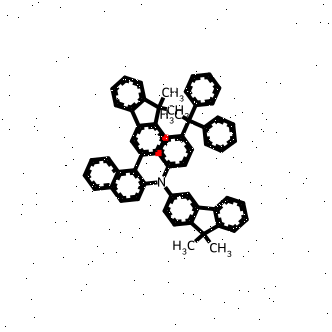 CC1(C)c2ccccc2-c2cc(-c3c(N(c4ccc(C(C)(c5ccccc5)c5ccccc5)cc4)c4ccc5c(c4)-c4ccccc4C5(C)C)ccc4ccccc34)ccc21